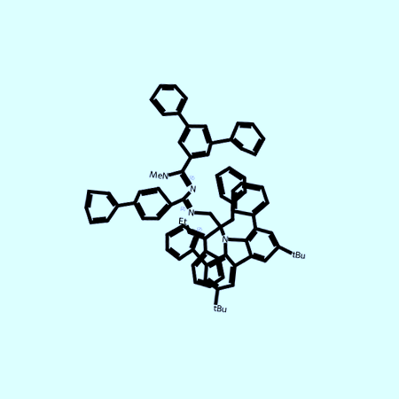 CC/C=C(/c1ccccc1)C(C/N=C(\N=C(/NC)c1cc(-c2ccccc2)cc(-c2ccccc2)c1)c1ccc(-c2ccccc2)cc1)(Cc1ccccc1)n1c2c(-c3ccccc3)cc(C(C)(C)C)cc2c2cc(C(C)(C)C)cc(-c3ccccc3)c21